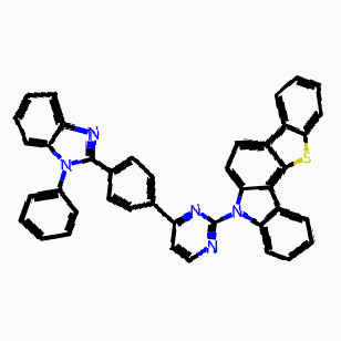 c1ccc(-n2c(-c3ccc(-c4ccnc(-n5c6ccccc6c6c7sc8ccccc8c7ccc65)n4)cc3)nc3ccccc32)cc1